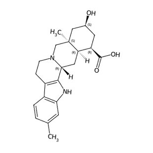 Cc1ccc2c3c([nH]c2c1)[C@H]1C[C@@H]2[C@H](C(=O)O)C[C@H](O)C[C@]2(C)CN1CC3